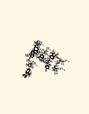 C#C[C@]1(O)CC[C@H]2[C@@H]3CC[C@H]4Cc5nn(S(C)(=O)=O)cc5C[C@]4(C)[C@H]3CC[C@@]21C.CC(C)C(=O)Nc1ccc([N+](=O)[O-])c(C(F)(F)F)c1.CC(O)(CS(=O)(=O)c1ccc(F)cc1)C(=O)Nc1ccc(C#N)c(C(F)(F)F)c1.CC1(C)NC(=O)N(c2ccc([N+](=O)[O-])c(C(F)(F)F)c2)C1=O.CN/C(=N/C#N)NCCSCc1nc[nH]c1C